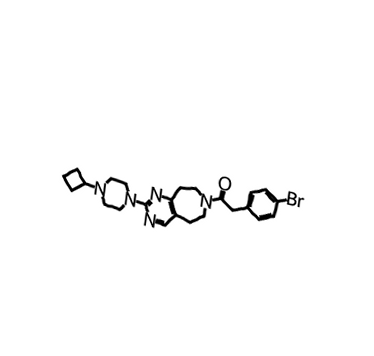 O=C(Cc1ccc(Br)cc1)N1CCc2cnc(N3CCN(C4CCC4)CC3)nc2CC1